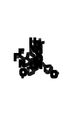 COc1ccc(CN(Cc2ccc(OC)cc2)S(=O)(=O)c2cc(NC(=O)OC(C)(C)C)cc3c(C(F)F)nccc23)cc1